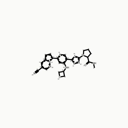 CNC(=O)C1CCCN1c1nnc(-c2cnc(-c3ccc4cc(C#N)cnn34)cc2NC2COC2)s1